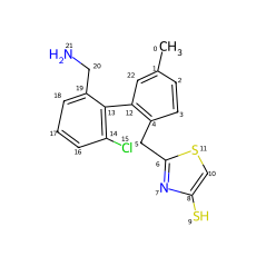 Cc1ccc(Cc2nc(S)cs2)c(-c2c(Cl)cccc2CN)c1